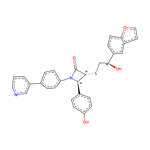 O=C1[C@H](SC[C@H](O)c2ccc3occc3c2)[C@@H](c2ccc(O)cc2)N1c1ccc(-c2cccnc2)cc1